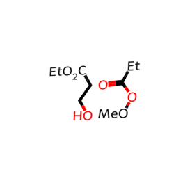 CCC(=O)OOC.CCOC(=O)CCO